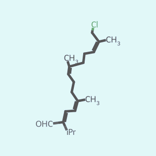 CC(=CCCC(C)=CCCC(C)=CC=C(C=O)C(C)C)CCl